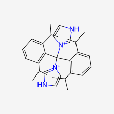 CC(C)c1cccc(C(C)C)c1C(c1c(C(C)C)cccc1C(C)C)([n+]1cc[nH]c1)[n+]1cc[nH]c1